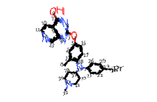 Cc1cc(Oc2nc(O)c3ccncc3n2)ccc1N(c1ccc(C(C)C)cc1)C1CCN(C)CC1